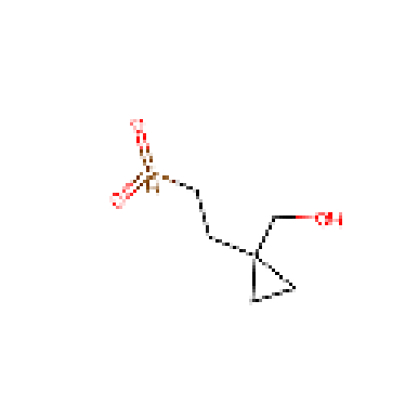 O=[SH](=O)CCC1(CO)CC1